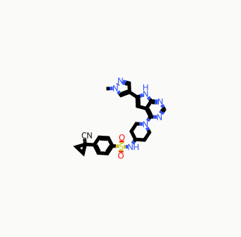 Cn1cc(-c2cc3c(N4CCC(NS(=O)(=O)c5ccc(C6(C#N)CC6)cc5)CC4)ncnc3[nH]2)cn1